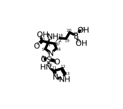 N[C@]1(C(=O)O)CN(S(=O)(=O)Nc2cc[nH]n2)C[C@H]1CCCB(O)O